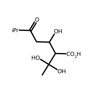 CC(C)C(=O)CC(O)C(C(=O)O)C(C)(O)O